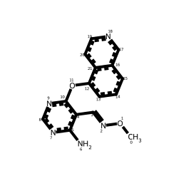 CON=Cc1c(N)ncnc1Oc1cccc2cnccc12